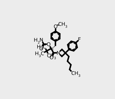 CCCCCC1(c2ccc(F)cc2)CN(C(=O)[C@](Cc2ccc(OC)cc2)(OC(N)=O)C(C)(C)C)C1